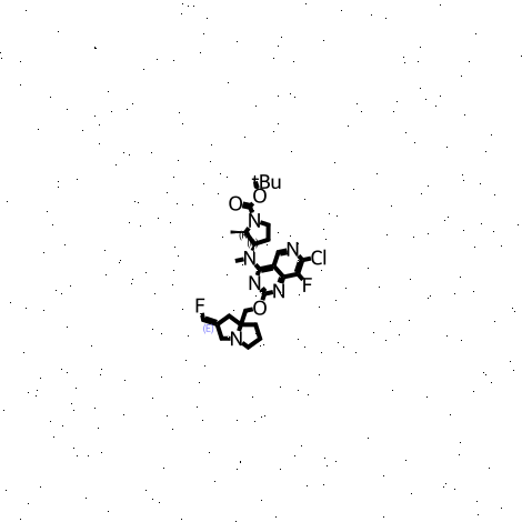 C[C@@H]1[C@H](N(C)c2nc(OCC34CCCN3C/C(=C/F)C4)nc3c(F)c(Cl)ncc23)CCN1C(=O)OC(C)(C)C